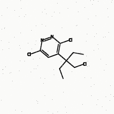 CCC(CC)(CCl)c1cc(Cl)nnc1Cl